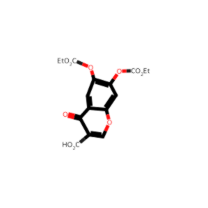 CCOC(=O)Oc1cc2occ(C(=O)O)c(=O)c2cc1OC(=O)OCC